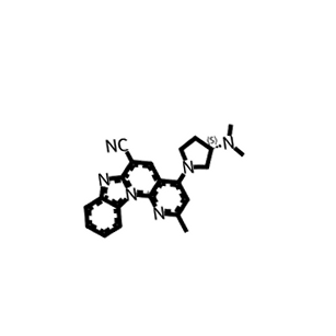 Cc1cc(N2CC[C@H](N(C)C)C2)c2cc(C#N)c3nc4ccccc4n3c2n1